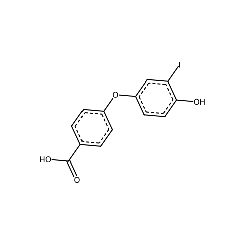 O=C(O)c1ccc(Oc2ccc(O)c(I)c2)cc1